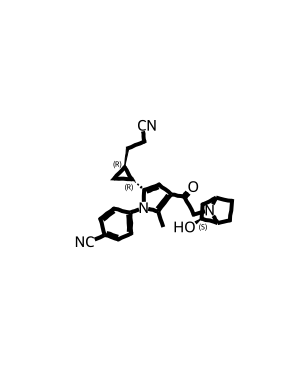 Cc1c(C(=O)CN2C3CCC2[C@@H](O)C3)cc([C@@H]2C[C@H]2CCC#N)n1-c1ccc(C#N)cc1